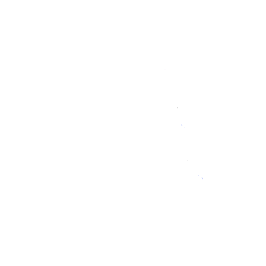 CCCCc1ccc(C(N)=O)c(I)c1.NC(=O)c1ccccc1I